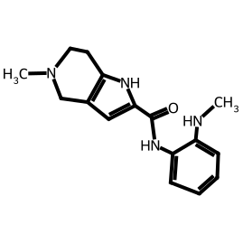 CNc1ccccc1NC(=O)c1cc2c([nH]1)CCN(C)C2